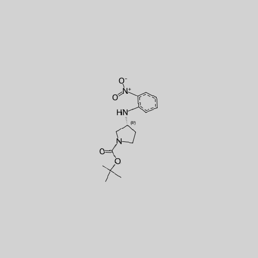 CC(C)(C)OC(=O)N1CC[C@@H](Nc2ccccc2[N+](=O)[O-])C1